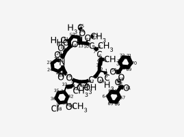 CC[C@@H]1/C=C(\C)C[C@H](C)C[C@H](OC)[C@H]2O[C@@](O)(C(=O)C(=O)N3CCCC[C@H]3C(=O)O[C@H](/C(C)=C/[C@@H]3CC[C@@H](Cl)[C@H](OC)C3)[C@H](C)[C@@H](O)CC1=O)[C@H](C)C[C@@H]2OC.O=C(OOC(=O)c1ccccc1)c1ccccc1